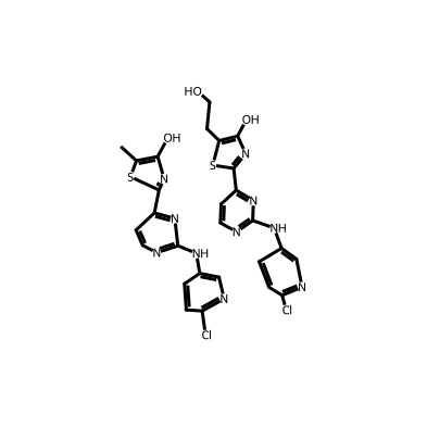 Cc1sc(-c2ccnc(Nc3ccc(Cl)nc3)n2)nc1O.OCCc1sc(-c2ccnc(Nc3ccc(Cl)nc3)n2)nc1O